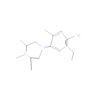 CCc1cc(N2CC(C)N(C)C(C)C2)c(C)cc1N